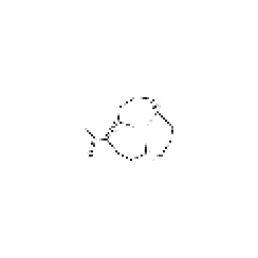 CC(=O)/C1=C(/C)CC/C=C(\C)CC/C=C(\C)CC1